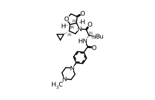 CC[C@H](C)[C@H](NC(=O)c1ccc(N2CCN(C)CC2)cc1)C(=O)N1C[C@H](C2CC2)[C@H]2OCC(=O)[C@H]21